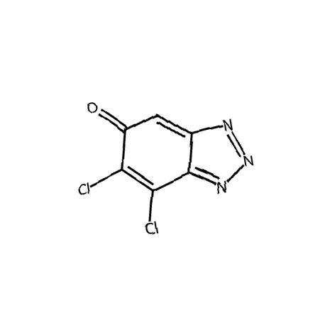 O=C1C=C2N=NN=C2C(Cl)=C1Cl